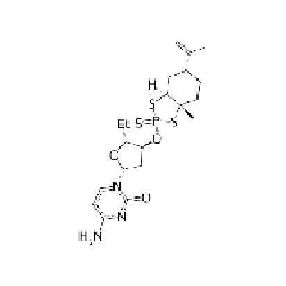 C=C(C)[C@@H]1CC[C@]2(C)S[P@](=S)(O[C@H]3C[C@H](n4ccc(N)nc4=O)O[C@@H]3CC)S[C@H]2C1